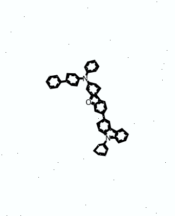 C1=CCCC(n2c3ccccc3c3cc(-c4ccc5c(c4)oc4cc(N(c6ccccc6)c6ccc(-c7ccccc7)cc6)ccc45)ccc32)=C1